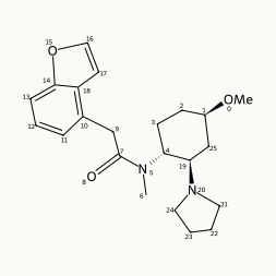 CO[C@@H]1CC[C@@H](N(C)C(=O)Cc2cccc3occc23)[C@H](N2CCCC2)C1